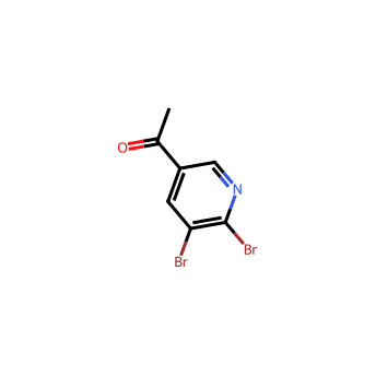 CC(=O)c1cnc(Br)c(Br)c1